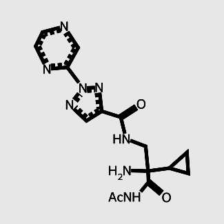 CC(=O)NC(=O)C(N)(CNC(=O)c1cnn(-c2cnccn2)n1)C1CC1